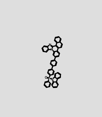 O=P(c1ccccc1)(c1ccc(-c2ccc(-c3ccc4c5ccc6ccccc6c5c5nc6ccccc6n5c4c3)cc2)cc1)n1c2ccccc2c2ccccc21